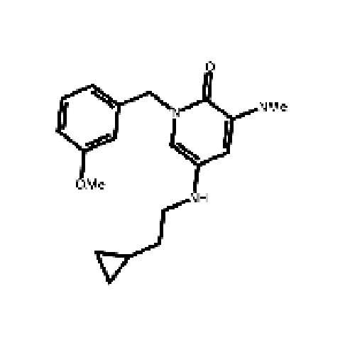 CNc1cc(NCCC2CC2)cn(Cc2cccc(OC)c2)c1=O